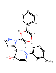 COc1cccc(-n2ccc(=O)c(-c3ccnn3C3=COC=C(C4=CC=CCC4)O3)n2)c1